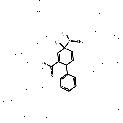 CN(C)C1(C)C=CC(c2ccccc2)C(C(=O)O)=C1